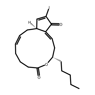 CCCCC[C@H]1C/C=C2/C(=O)C(I)=C[C@@H]2C/C=C\CCCC(=O)O1